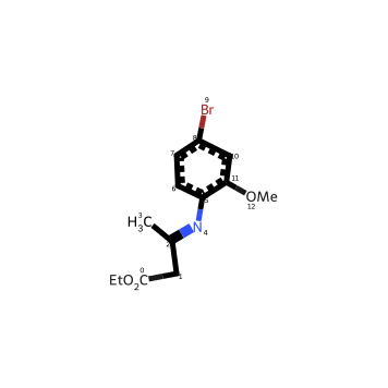 CCOC(=O)C/C(C)=N/c1ccc(Br)cc1OC